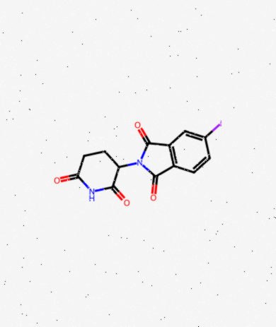 O=C1CCC(N2C(=O)c3ccc(I)cc3C2=O)C(=O)N1